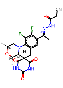 C/C(=N\NC(=O)CC#N)c1cc2c(c(F)c1F)N1C[C@@H](C)O[C@@H](C)[C@@H]1C1(C2)C(=O)NC(=O)NC1=O